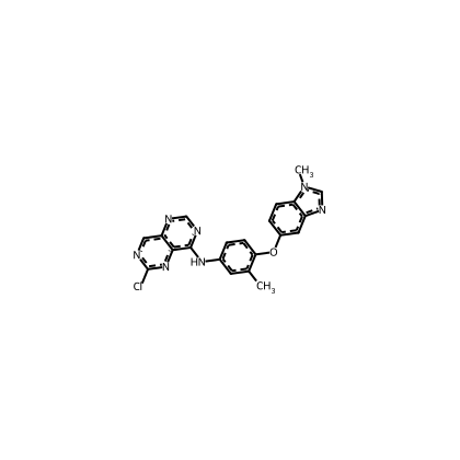 Cc1cc(Nc2ncnc3cnc(Cl)nc23)ccc1Oc1ccc2c(c1)ncn2C